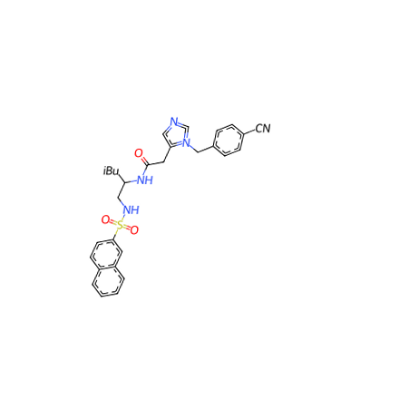 CCC(C)C(CNS(=O)(=O)c1ccc2ccccc2c1)NC(=O)Cc1cncn1Cc1ccc(C#N)cc1